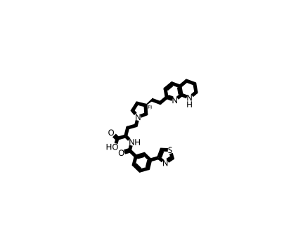 O=C(NC(CCN1CC[C@@H](CCc2ccc3c(n2)NCCC3)C1)C(=O)O)c1cccc(-c2cscn2)c1